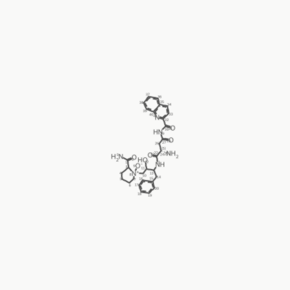 NC(=O)C1CCCC[N+]1([O-])CC(O)C(Cc1ccccc1)NC(=O)[C@@H](N)CC(=O)NC(=O)c1ccc2ccccc2n1